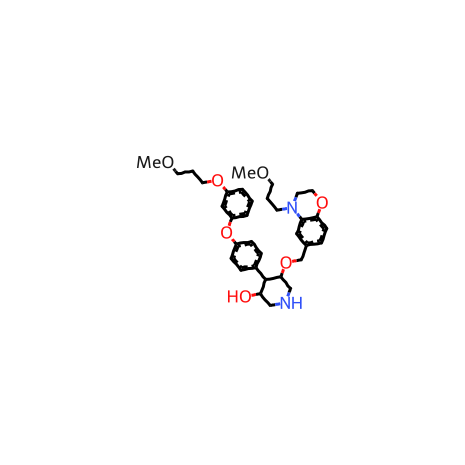 COCCCOc1cccc(Oc2ccc(C3C(O)CNCC3OCc3ccc4c(c3)N(CCCOC)CCO4)cc2)c1